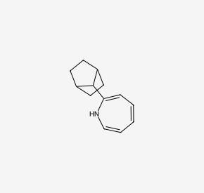 C1=CC=C(C2C3CCC2CC3)NC=C1